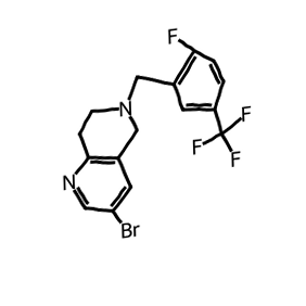 Fc1ccc(C(F)(F)F)cc1CN1CCc2ncc(Br)cc2C1